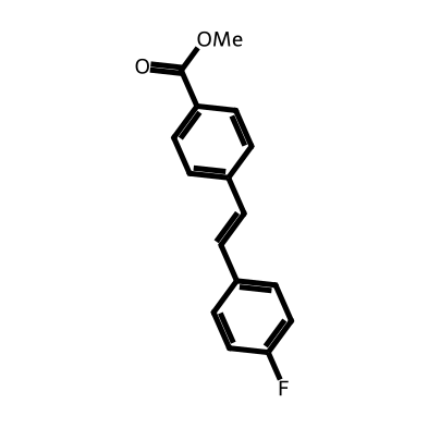 COC(=O)c1ccc(C=Cc2ccc(F)cc2)cc1